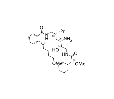 COCCCCOc1ccccc1C(=O)NC[C@@H](C[C@H](N)[C@@H](O)CNC(=O)[C@H](OC)C1CCCCC1)C(C)C